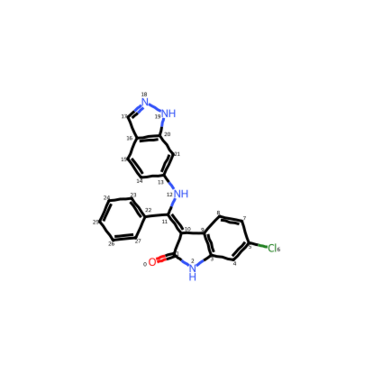 O=C1Nc2cc(Cl)ccc2C1=C(Nc1ccc2cn[nH]c2c1)c1ccccc1